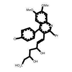 COc1cc2nc(C(C)C)c(/C=C/C(O)CC(O)CC(=O)O)c(-c3ccc(Cl)cc3)c2cc1OC